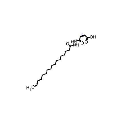 CCCCCCCCCCCCCCCCC(=O)NNC(=O)/C=C\C(=O)O